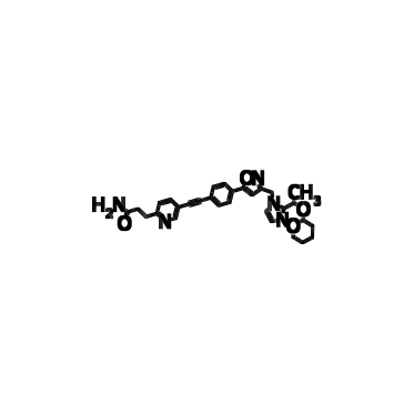 CC(OC1CCCCO1)c1nccn1Cc1cc(-c2ccc(C#Cc3ccc(CCC(N)=O)nc3)cc2)on1